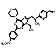 CCn1c(CN(C)c2ncc(C=O)cn2)nc2c(N3CCOCC3)nc(-c3ccc(OC)cc3)nc21